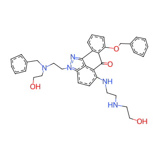 O=C1c2c(OCc3ccccc3)cccc2-c2nn(CCN(CCO)Cc3ccccc3)c3ccc(NCCNCCO)c1c23